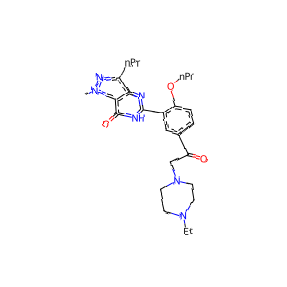 CCCOc1ccc(C(=O)CN2CCN(CC)CC2)cc1-c1nc2c(CCC)nn(C)c2c(=O)[nH]1